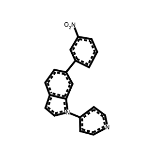 O=[N+]([O-])c1cccc(-c2ccc3ccn(-c4ccncc4)c3c2)c1